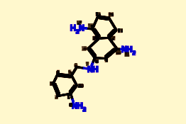 Nc1cccc(CNc2cc(N)c3cccc(N)c3c2)c1